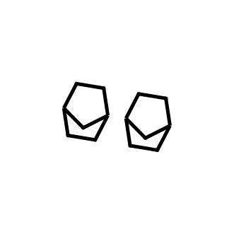 C1CC2CCC1C2.C1CC2CCC1C2